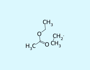 CCOC(C)=O.[CH2]C